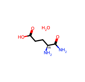 NC(=O)[C@@H](N)CCC(=O)O.O